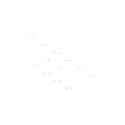 NCCCCCCCCCCCCN.O=C(O)c1ccc2ccc(C(=O)O)cc2c1